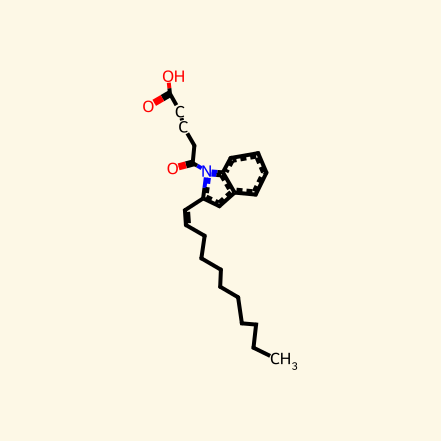 CCCCCCCCC/C=C\c1cc2ccccc2n1C(=O)CCCC(=O)O